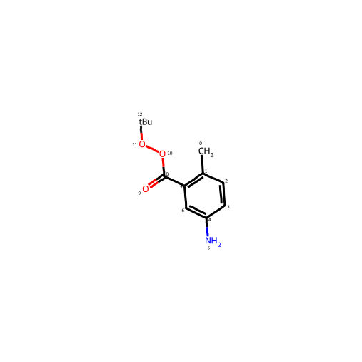 Cc1ccc(N)cc1C(=O)OOC(C)(C)C